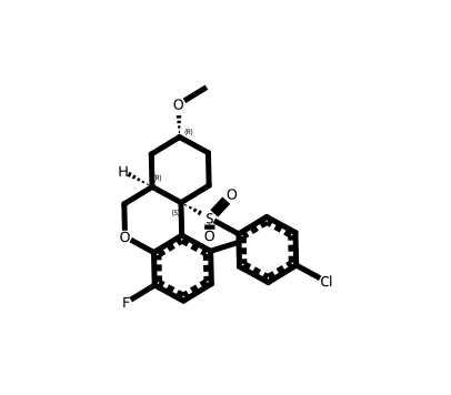 CO[C@@H]1CC[C@@]2(S(=O)(=O)c3ccc(Cl)cc3)c3c(F)ccc(F)c3OC[C@H]2C1